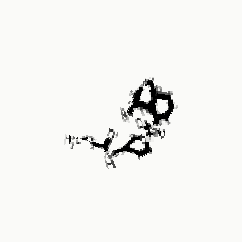 COCC(=O)NC1CCN(S(=O)(=O)c2cccc3cncc(Br)c23)C1